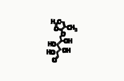 CC=C(C)C(=O)OC[C@@H](O)[C@@H](O)[C@H](O)[C@@H](O)C=O